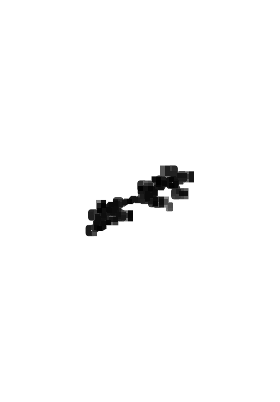 COc1cc(C2=NOC(c3cc(CO)c(CO)c(CO)c3)C2)cc(OC)c1OCCCCCCOc1ccc(C2NC(=O)c3cc(Cl)ccc3N2)cc1CO